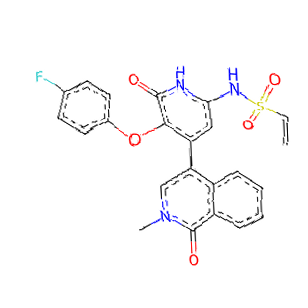 C=CS(=O)(=O)Nc1cc(-c2cn(C)c(=O)c3ccccc23)c(Oc2ccc(F)cc2)c(=O)[nH]1